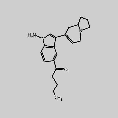 CCCCC(=O)c1ccc2c(c1)c(C1=CCN3CCCC3C1)cn2N